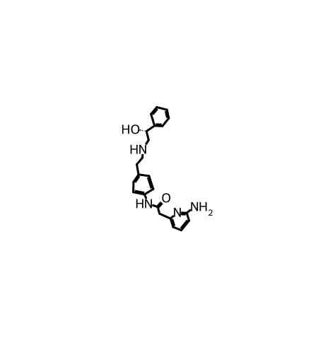 Nc1cccc(CC(=O)Nc2ccc(CCNC[C@H](O)c3ccccc3)cc2)n1